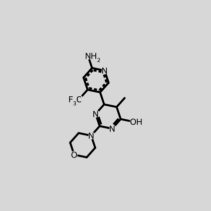 CC1C(O)=NC(N2CCOCC2)=NC1c1cnc(N)cc1C(F)(F)F